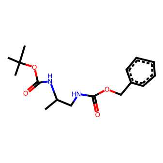 CC(CNC(=O)OCc1ccccc1)NC(=O)OC(C)(C)C